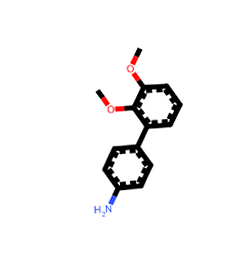 COc1cccc(-c2ccc(N)cc2)c1OC